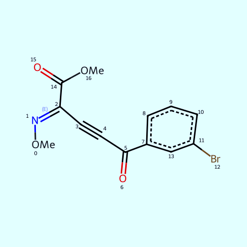 CO/N=C(\C#CC(=O)c1cccc(Br)c1)C(=O)OC